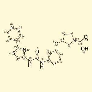 O=C(Nc1cccc(OC2CCN(C(=O)O)C2)n1)Nc1csc(-c2ccncc2)n1